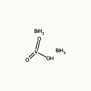 [BiH3].[BiH3].[O]=[V](=[O])[OH]